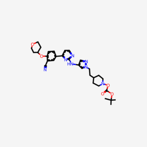 CC(C)(C)OC(=O)ON1CCC(CCn2cc(Nc3nccc(-c4ccc(OC5CCOCC5)c(C#N)c4)n3)cn2)CC1